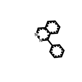 [c]1nnc(-c2ccccc2)c2ccccc12